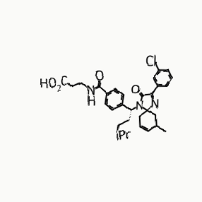 CC(C)CC[C@H](c1ccc(C(=O)NCCC(=O)O)cc1)N1C(=O)C(c2cccc(Cl)c2)=NC12CC=CC(C)C2